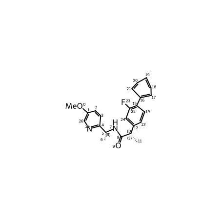 COc1ccc([C@@H](C)NC(=O)[C@@H](C)c2ccc(-c3ccccc3)c(F)c2)nc1